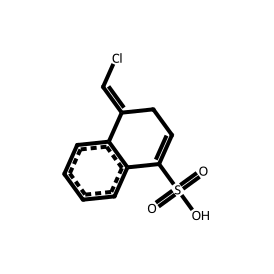 O=S(=O)(O)C1=CCC(=CCl)c2ccccc21